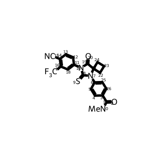 CNC(=O)c1ccc(N2C(=S)N(c3ccc(C#N)c(C(F)(F)F)c3)C(=O)C23CCC3)cc1